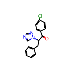 O=C(c1ccc(Cl)cc1)C(Cc1ccccc1)n1cncn1